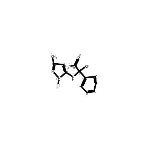 CCn1nc(C)cc1NC(Cl)(C(N)=O)c1ccccc1